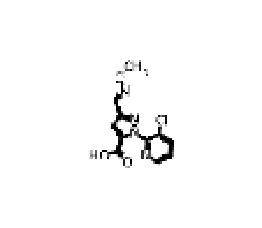 CON=Cc1cc(C(=O)O)n(-c2ncccc2Cl)n1